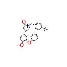 COc1ccc(C2CC(=O)N(Cc3ccc(C(C)(C)C)cc3)C2)c2c1oc1ccccc12